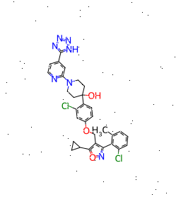 Cc1cccc(Cl)c1-c1noc(C2CC2)c1COc1ccc(C2(O)CCN(c3cc(-c4nnn[nH]4)ccn3)CC2)c(Cl)c1